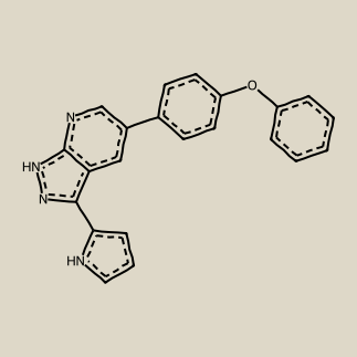 c1ccc(Oc2ccc(-c3cnc4[nH]nc(-c5ccc[nH]5)c4c3)cc2)cc1